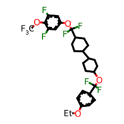 CCOc1ccc(C(F)(F)OC2CCC(C3CCC(C(F)(F)Oc4cc(F)c(OC(F)(F)F)c(F)c4)CC3)CC2)cc1